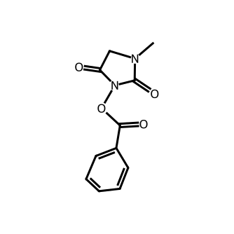 CN1CC(=O)N(OC(=O)c2ccccc2)C1=O